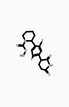 CC(C)(C)OC(=O)N1CCCCC1c1cc(F)c(C2CCC(=O)NC2=O)cc1F